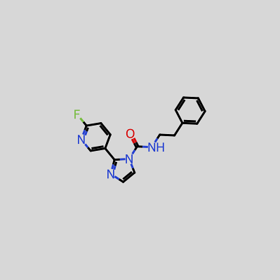 O=C(NCCc1ccccc1)n1ccnc1-c1ccc(F)nc1